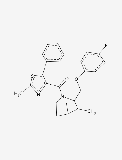 Cc1nc(C(=O)N2C3CC(C3)C(C)C2COc2ccc(F)cc2)c(-c2ccccc2)s1